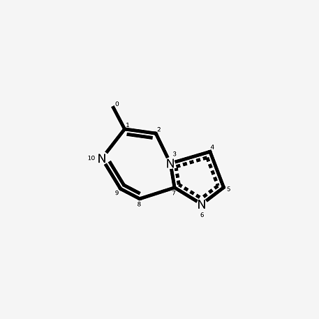 CC1=Cn2ccnc2C=C=N1